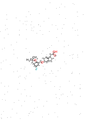 CC1(C)Cc2cc(F)cc(COC3C=C4CCC(CC(=O)O)C4=CC3)c2O1